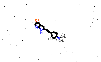 C#CC(/C=C\C(C#CC1Cc2cc(P)cnc2N1)=C/C)N(C)C